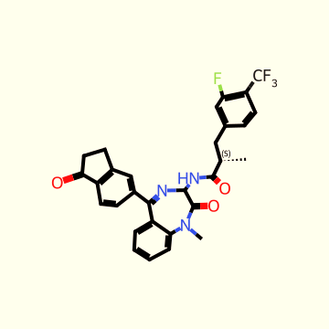 C[C@@H](Cc1ccc(C(F)(F)F)c(F)c1)C(=O)NC1N=C(c2ccc3c(c2)CCC3=O)c2ccccc2N(C)C1=O